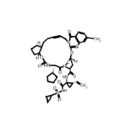 C=C[C@@H]1C[C@]1(NC(=O)[C@@H]1C[C@@H]2CN1C(=O)[C@H](C1CCCC1)NC(=O)O[C@@H]1CCC[C@H]1CCC=CCn1c(nc3cc(C)ccc3c1=O)O2)C(=O)NS(=O)(=O)C1CC1